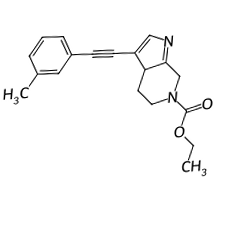 CCOC(=O)N1CCC2C(C#Cc3cccc(C)c3)=CN=C2C1